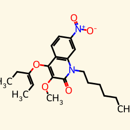 CC=C(CC)Oc1c(OC)c(=O)n(CCCCCC)c2cc([N+](=O)[O-])ccc12